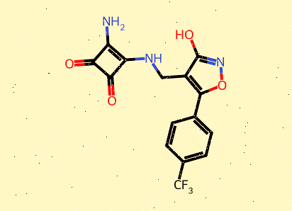 Nc1c(NCc2c(O)noc2-c2ccc(C(F)(F)F)cc2)c(=O)c1=O